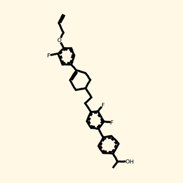 C=CCOc1ccc(C2=CCC(CCc3ccc(-c4ccc(C(C)O)cc4)c(F)c3F)CC2)cc1F